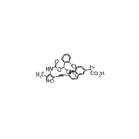 Cc1noc(C#Cc2ccc3cc(C4(C(=O)O)CC4)ccc3c2)c1NC(=O)OC(C)c1ccccc1Cl